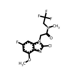 COc1cc(F)cc2c1nc(Cl)n2CC(=O)N(C)CC(F)(F)F